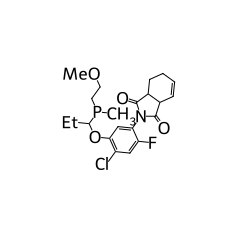 CCC(Oc1cc(N2C(=O)C3C=CCCC3C2=O)c(F)cc1Cl)P(C)CCOC